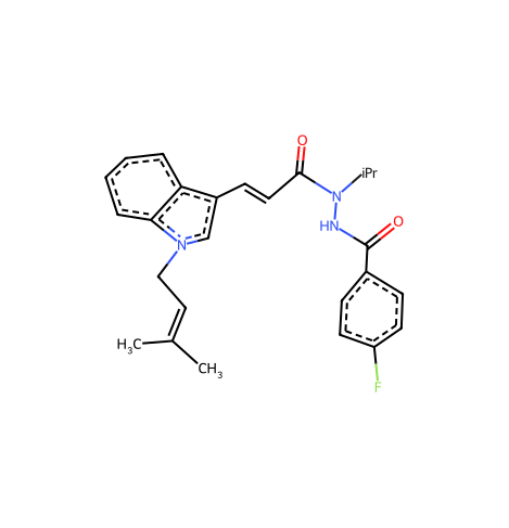 CC(C)=CCn1cc(C=CC(=O)N(NC(=O)c2ccc(F)cc2)C(C)C)c2ccccc21